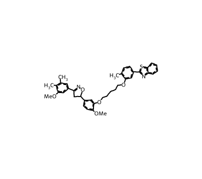 COc1ccc(C2CC(c3cc(C)c(C)c(OC)c3)=NO2)cc1OCCCCCOc1cc(-c2nc3ccccc3s2)ccc1C